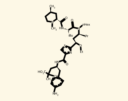 CCCCCCN(C(=O)[C@@H](NC(=O)[C@H]1C[C@H](C)CCN1C)[C@@H](C)CC)[C@H](C[C@@H](OCC)c1nc(C(=O)N[C@@H](Cc2ccc(N)cc2)CC(C)(C)C(=O)O)cs1)C(C)C